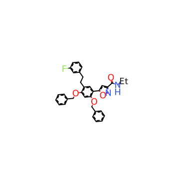 CCNC(=O)c1cc(-c2cc(CCc3cccc(F)c3)c(OCc3ccccc3)cc2OCc2ccccc2)on1